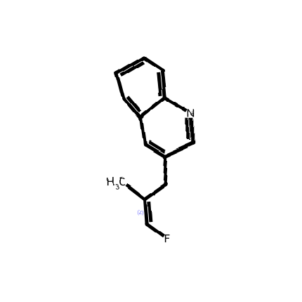 C/C(=C/F)Cc1cnc2ccccc2c1